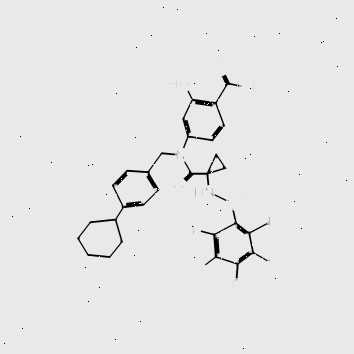 O=C(O)c1ccc(N(Cc2ccc(C3CCCCC3)cc2)C(=O)C2(N[S+]([O-])c3c(F)c(F)c(F)c(F)c3F)CC2)cc1O